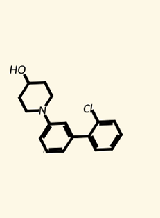 OC1CCN(c2c[c]cc(-c3ccccc3Cl)c2)CC1